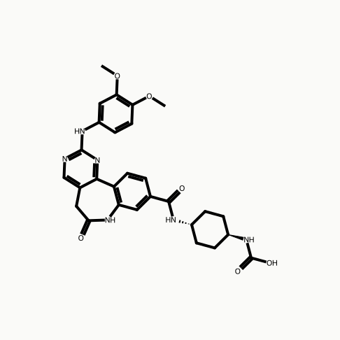 COc1ccc(Nc2ncc3c(n2)-c2ccc(C(=O)N[C@H]4CC[C@H](NC(=O)O)CC4)cc2NC(=O)C3)cc1OC